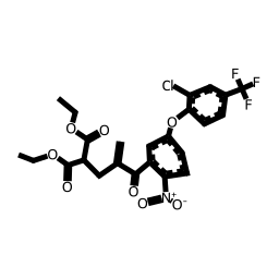 C=C(CC(C(=O)OCC)C(=O)OCC)C(=O)c1cc(Oc2ccc(C(F)(F)F)cc2Cl)ccc1[N+](=O)[O-]